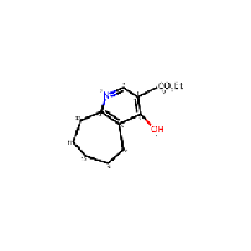 CCOC(=O)c1cnc2c(c1O)CCCCC2